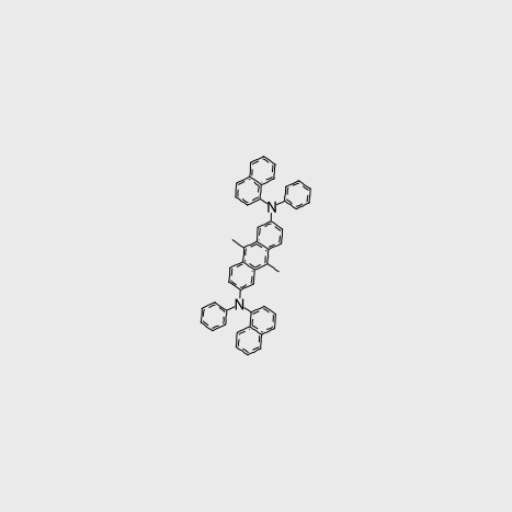 Cc1c2ccc(N(c3ccccc3)c3cccc4ccccc34)cc2c(C)c2ccc(N(c3ccccc3)c3cccc4ccccc34)cc12